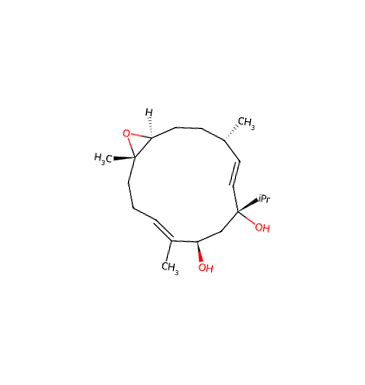 C/C1=C\CC[C@]2(C)O[C@H]2CC[C@H](C)/C=C/[C@@](O)(C(C)C)C[C@H]1O